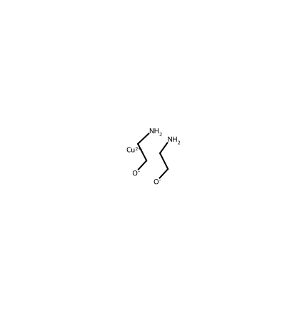 NCC[O-].NCC[O-].[Cu+2]